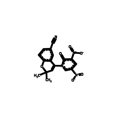 CC1(C)C=C(n2cc([N+](=O)[O-])cc([N+](=O)[O-])c2=O)c2cc(C#N)ccc2O1